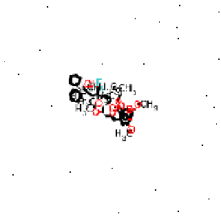 COCOc1cc(OC)cc(/C=C/C[C@@H]2OC(C)(C)O[C@@H]2C(/C=C\C[C@@H](CC(C)(C)[Si](O)(c2ccccc2)c2ccccc2)C(F)(F)F)OC(=O)c2ccccc2)c1C(=O)OCC[Si](C)(C)C